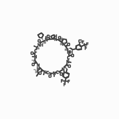 CC[C@H](C)[C@@H]1NC(=O)[C@H](C)N(C)C(=O)C[C@@H](C)NC(=O)[C@H](C2CCCC2)N(C)C(=O)C2(CCC2)NC(=O)[C@@H]2CCCN2C(=O)[C@H](CCc2ccc(C(F)(F)F)c(Cl)c2)NC(=O)CN(C)C(=O)[C@H](Cc2ccc(C(F)(F)F)cc2)N(C)C(=O)CN(C)C(=O)CN(C)C1=O